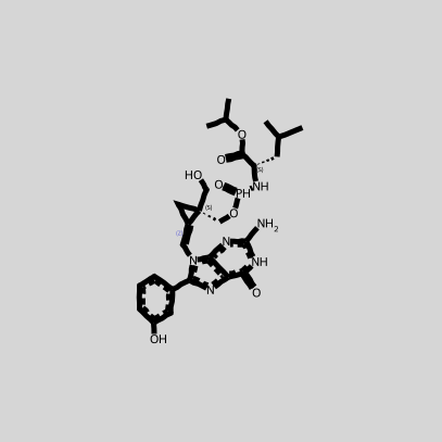 CC(C)C[C@H](N[PH](=O)OC[C@@]1(CO)C/C1=C/n1c(-c2cccc(O)c2)nc2c(=O)[nH]c(N)nc21)C(=O)OC(C)C